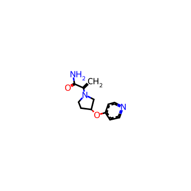 C=C(C(N)=O)N1CC[C@H](Oc2ccncc2)C1